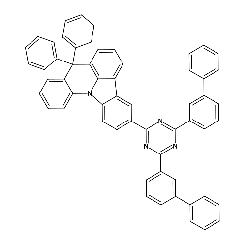 C1=CCCC(C2(c3ccccc3)c3ccccc3-n3c4ccc(-c5nc(-c6cccc(-c7ccccc7)c6)nc(-c6cccc(-c7ccccc7)c6)n5)cc4c4cccc2c43)=C1